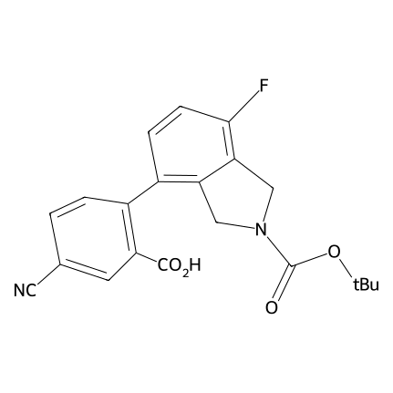 CC(C)(C)OC(=O)N1Cc2c(F)ccc(-c3ccc(C#N)cc3C(=O)O)c2C1